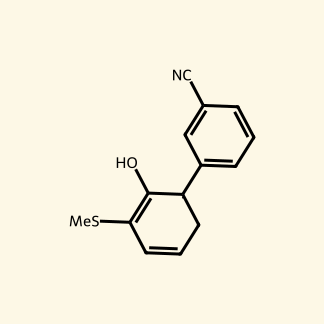 CSC1=C(O)[C](c2cccc(C#N)c2)CC=C1